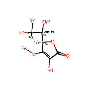 [2H]OC1=C(O)C(=O)O[C@]1([2H])[C@@]([2H])(O)C([2H])([2H])O